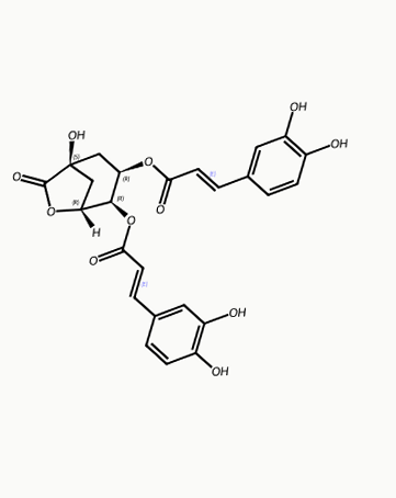 O=C(/C=C/c1ccc(O)c(O)c1)O[C@@H]1[C@H](OC(=O)/C=C/c2ccc(O)c(O)c2)C[C@]2(O)C[C@H]1OC2=O